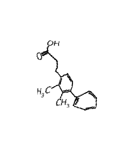 Cc1c(CCC(=O)O)ccc(-c2ccccc2)c1C